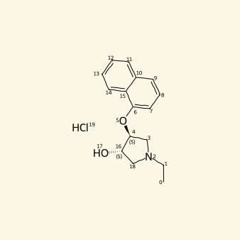 CCN1C[C@H](Oc2cccc3ccccc23)[C@@H](O)C1.Cl